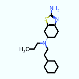 CCCN(CCC1CCCCC1)[C@H]1CCc2nc(N)sc2C1